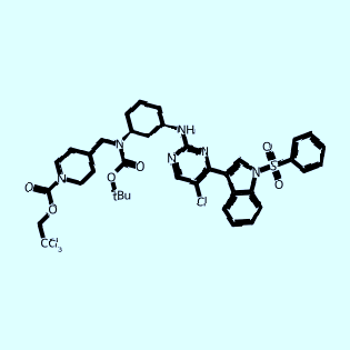 CC(C)(C)OC(=O)N(CC1CCN(C(=O)OCC(Cl)(Cl)Cl)CC1)[C@H]1CCC[C@@H](Nc2ncc(Cl)c(-c3cn(S(=O)(=O)c4ccccc4)c4ccccc34)n2)C1